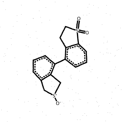 O=S1(=O)CCc2c(-c3cccc4c3C[S+]([O-])C4)cccc21